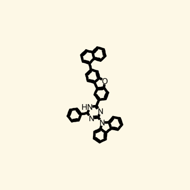 c1ccc(C2N=C(n3c4ccccc4c4ccccc43)N=C(c3ccc4oc5cc(-c6cccc7ccccc67)ccc5c4c3)N2)cc1